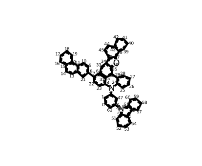 c1cc(N(c2ccc(-c3ccc4c(ccc5ccccc54)c3)cc2)c2ccccc2-c2cccc3c2oc2c4ccccc4ccc32)cc(-n2c3ccccc3c3ccccc32)c1